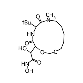 CN1CCCCCCCOC(C(O)C(=O)NO)C(=O)NC(C(C)(C)C)C1=O